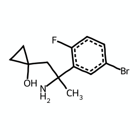 CC(N)(CC1(O)CC1)c1cc(Br)ccc1F